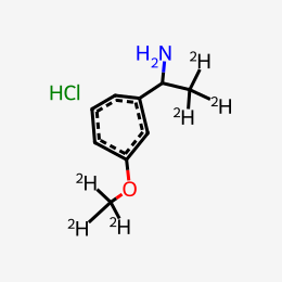 Cl.[2H]C([2H])([2H])Oc1cccc(C(N)C([2H])([2H])[2H])c1